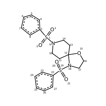 O=S(=O)(c1ccccc1)N1CCC2(CC1)OCCN2S(=O)(=O)c1ccccc1